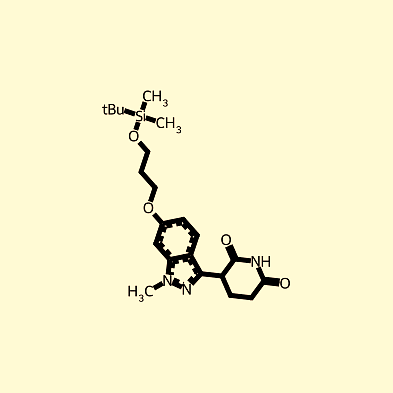 Cn1nc(C2CCC(=O)NC2=O)c2ccc(OCCCO[Si](C)(C)C(C)(C)C)cc21